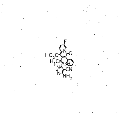 C[C@H]([AsH]c1ncnc(N)c1C#N)c1c(-c2ccccc2)c(=O)n2cc(F)ccc2c1C(=O)O